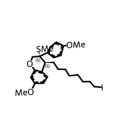 COc1ccc([C@]2(SC)COc3cc(OC)ccc3[C@@H]2CCCCCCCCI)cc1